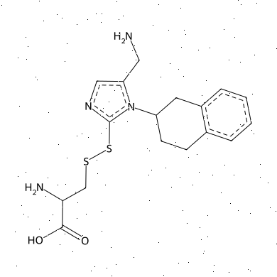 NCc1cnc(SSCC(N)C(=O)O)n1C1CCc2ccccc2C1